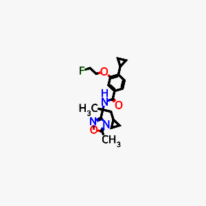 Cc1nc(C(C)(CC2CC2)NC(=O)c2ccc(C3CC3)c(OCCF)c2)no1